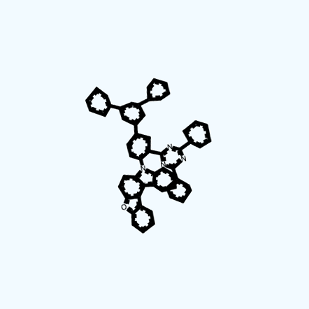 c1ccc(-c2cc(-c3ccccc3)cc(-c3ccc(-n4c5ccccc5c5c6c(ccc54)oc4ccccc46)c(-c4nc(-c5ccccc5)nc(-c5ccccc5)n4)c3)c2)cc1